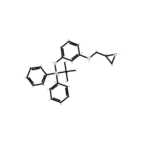 CC(C)(C)[Si](Oc1cccc(OCC2CO2)c1)(c1ccccc1)c1ccccc1